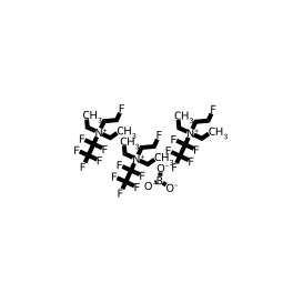 CC[N+](CC)(CCF)C(F)(F)C(F)(F)F.CC[N+](CC)(CCF)C(F)(F)C(F)(F)F.CC[N+](CC)(CCF)C(F)(F)C(F)(F)F.[O-]B([O-])[O-]